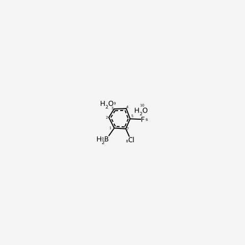 Bc1cccc(F)c1Cl.O.O